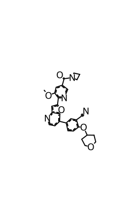 COc1cc(C(=O)N2CCC2)cnc1-c1cc2nccc(-c3ccc(OC4CCOCC4)c(C#N)c3)c2o1